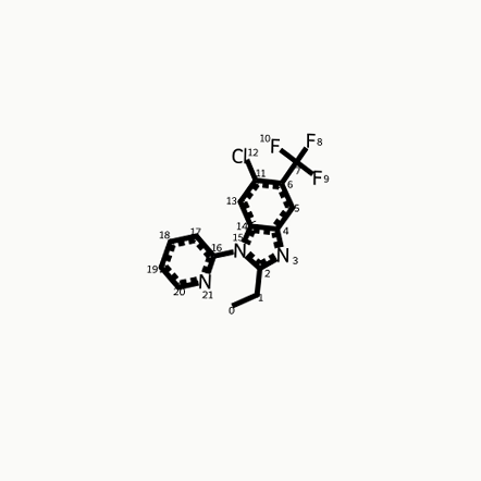 CCc1nc2cc(C(F)(F)F)c(Cl)cc2n1-c1cc[c]cn1